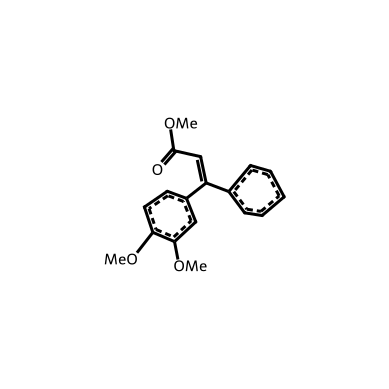 COC(=O)C=C(c1ccccc1)c1ccc(OC)c(OC)c1